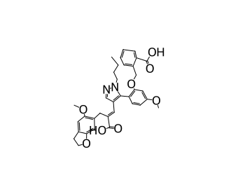 CCCCn1ncc(/C=C(\Cc2cc3c(cc2OC)CCO3)C(=O)O)c1-c1ccc(OC)cc1OCc1ccccc1C(=O)O